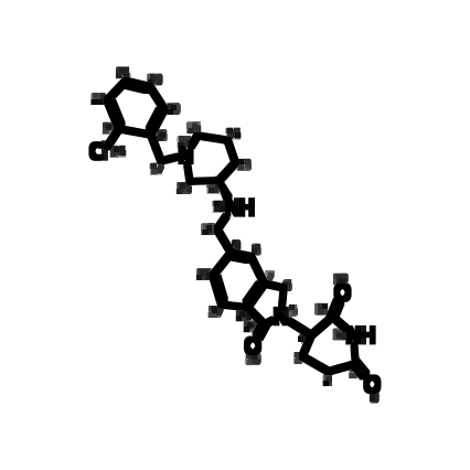 O=C1CCC(N2Cc3cc(CN[C@@H]4CCCN(Cc5ccccc5Cl)C4)ccc3C2=O)C(=O)N1